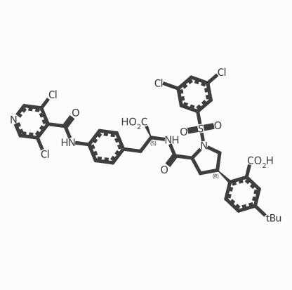 CC(C)(C)c1ccc([C@H]2CC(C(=O)N[C@@H](Cc3ccc(NC(=O)c4c(Cl)cncc4Cl)cc3)C(=O)O)N(S(=O)(=O)c3cc(Cl)cc(Cl)c3)C2)c(C(=O)O)c1